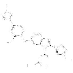 COc1cc(-c2cnn(C)c2)ccc1Nc1cc2c(cn1)cc(-c1cnn(C)c1)n2C(=O)OC(C)C